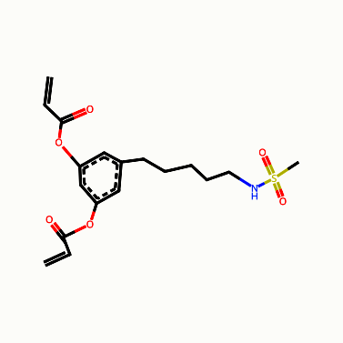 C=CC(=O)Oc1cc(CCCCCNS(C)(=O)=O)cc(OC(=O)C=C)c1